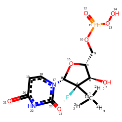 [2H][13C]([2H])([2H])[C@@]1(F)[C@H](O)[C@@H](CO[PH](=O)OO)O[C@H]1n1ccc(=O)[nH]c1=O